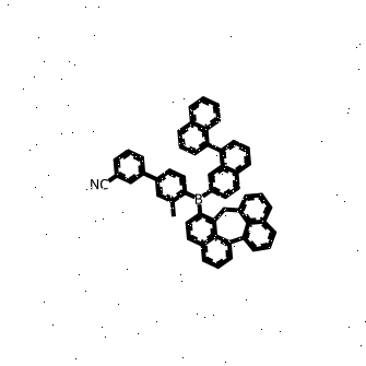 Cc1cc(-c2cccc(C#N)c2)ccc1B(c1ccc2cccc(-c3cccc4ccccc34)c2c1)c1ccc2cccc3c2c1Cc1cccc2cccc-3c12